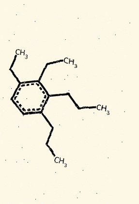 CCCc1[c]cc(CC)c(CC)c1CCC